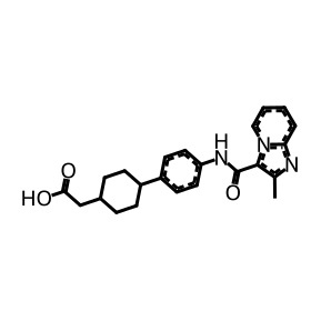 Cc1nc2ccccn2c1C(=O)Nc1ccc(C2CCC(CC(=O)O)CC2)cc1